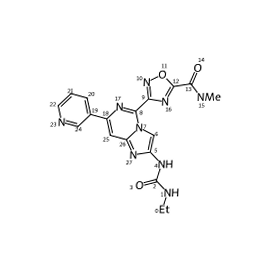 CCNC(=O)Nc1cn2c(-c3noc(C(=O)NC)n3)nc(-c3cccnc3)cc2n1